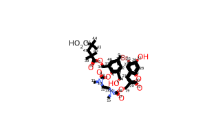 Cc1cc(CO)c(OC(=O)N(C)CCN(C)C(=O)OCc2cc3cc(Br)c(O)cc3oc2=O)c(COC(=O)C(C)(C)CC(C)(C)C(=O)O)c1